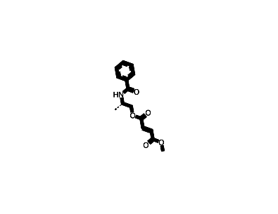 COC(=O)/C=C/C(=O)OC[C@H](C)NC(=O)c1ccccc1